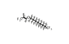 FC(OC(F)(F)C(F)(F)C(F)(F)C(F)(F)C(F)(F)C(F)(F)C(F)(F)C(F)(F)F)=C(F)C(F)(F)F